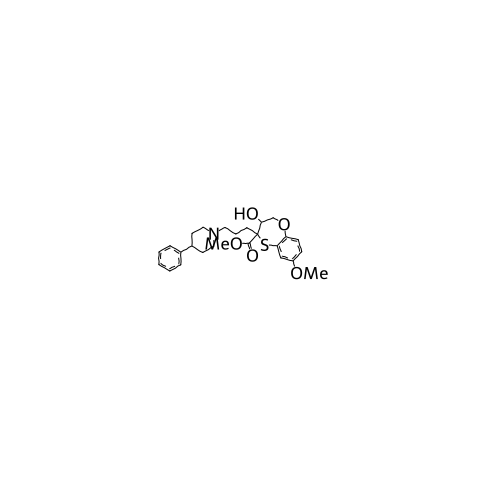 COC(=O)C1(CCCN2CCC(c3ccccc3)CC2)Sc2cc(OC)ccc2OCC1O